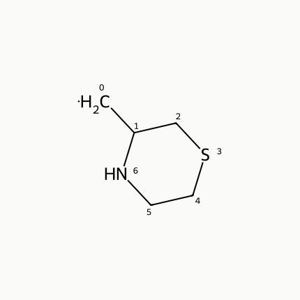 [CH2]C1CSCCN1